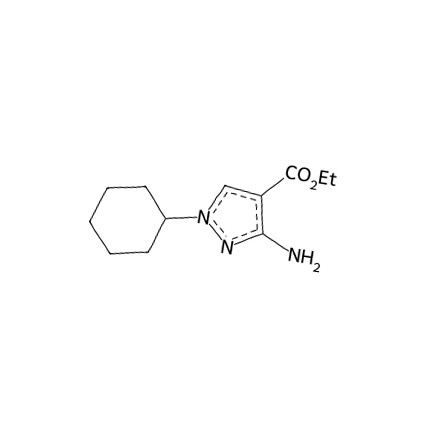 CCOC(=O)c1cn(C2CCCCC2)nc1N